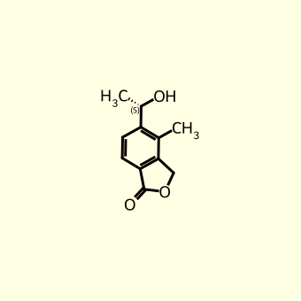 Cc1c([C@H](C)O)ccc2c1COC2=O